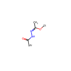 CCCC(=O)NN=C(C)OCC